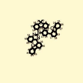 CC1(C)c2ccccc2-c2c(N(c3ccc(-c4cccc5c4oc4ccccc45)cc3)c3nc(-c4cccc5c4oc4ccccc45)c4ccccc4n3)cccc21